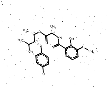 COc1ccnc(C(=S)N[C@@H](C)C(=O)O[C@@H](C)[C@H](Oc2ccc(Cl)cc2)C(C)C)c1O